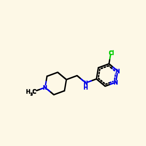 CN1CCC(CNc2cnnc(Cl)c2)CC1